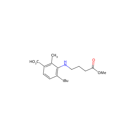 COC(=O)CCCNc1c(C(C)(C)C)ccc(C(=O)O)c1C